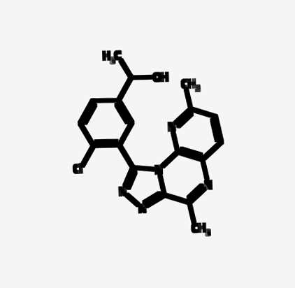 Cc1ccc2nc(C)c3nnc(-c4cc(C(C)O)ccc4Cl)n3c2n1